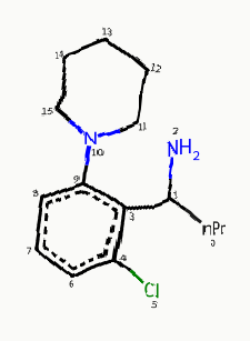 CCCC(N)c1c(Cl)cccc1N1CCCCC1